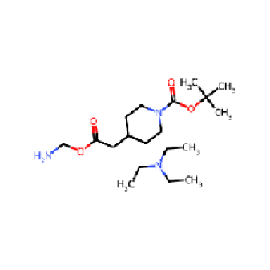 CC(C)(C)OC(=O)N1CCC(CC(=O)OCN)CC1.CCN(CC)CC